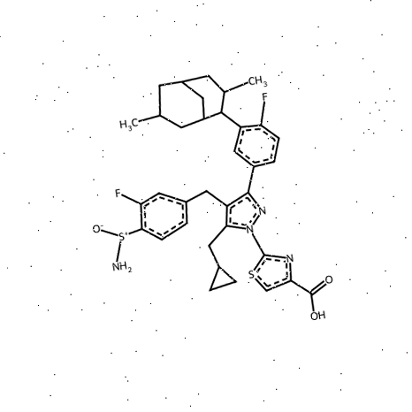 CC1CC2CC(C)C(c3cc(-c4nn(-c5nc(C(=O)O)cs5)c(CC5CC5)c4Cc4ccc([S+](N)[O-])c(F)c4)ccc3F)C(C1)C2